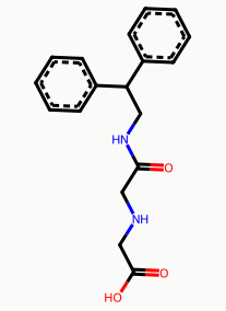 O=C(O)CNCC(=O)NCC(c1ccccc1)c1ccccc1